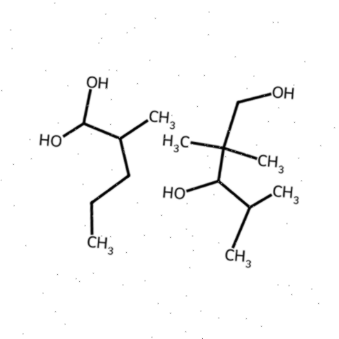 CC(C)C(O)C(C)(C)CO.CCCC(C)C(O)O